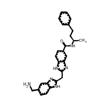 CC(CCc1ccccc1)NC(=O)c1ccc2[nH]c(Cc3nc4cc(CN)ccc4[nH]3)nc2c1